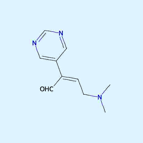 CN(C)CC=C(C=O)c1cncnc1